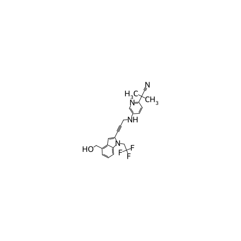 CC(C)(C#N)c1ccc(NCC#Cc2cc3c(CO)cccc3n2CC(F)(F)F)cn1